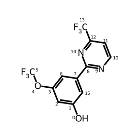 Oc1cc(OC(F)(F)F)cc(-c2nccc(C(F)(F)F)n2)c1